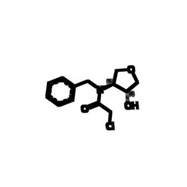 O=C(CCl)N(Cc1ccccc1)[C@H]1COC[C@@H]1O